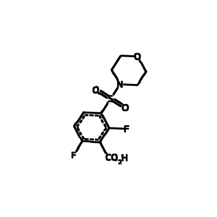 O=C(O)c1c(F)ccc(S(=O)(=O)N2CCOCC2)c1F